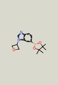 CC1(C)OB(c2ccc3ncn(C4COC4)c3c2)OC1(C)C